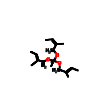 CC=C(C)[SiH2]O[Si](C)(O[SiH2]C(C)=CC)O[SiH2]C(C)=CC